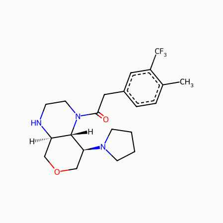 Cc1ccc(CC(=O)N2CCN[C@@H]3COC[C@H](N4CCCC4)[C@H]32)cc1C(F)(F)F